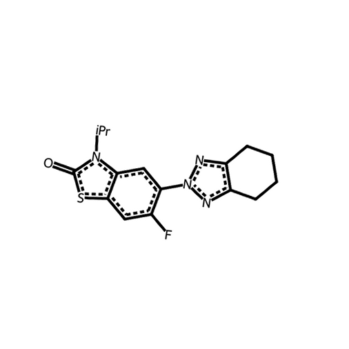 CC(C)n1c(=O)sc2cc(F)c(-n3nc4c(n3)CCCC4)cc21